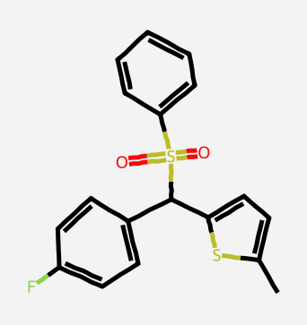 Cc1ccc(C(c2ccc(F)cc2)S(=O)(=O)c2ccccc2)s1